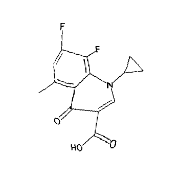 Cc1cc(F)c(F)c2c1c(=O)c(C(=O)O)cn2C1CC1